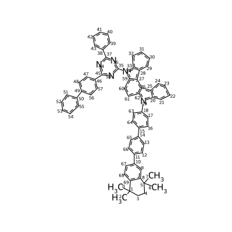 CC1(C)CCC(C)(C)c2cc(-c3ccc(-c4ccc(-n5c6ccccc6c6c7c8ccccc8n(-c8nc(-c9ccccc9)nc(-c9ccc(-c%10ccccc%10)cc9)n8)c7ccc65)cc4)cc3)ccc21